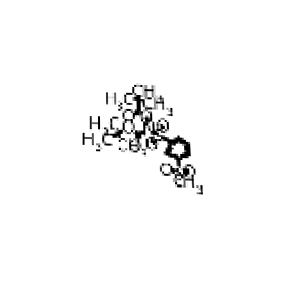 CC(C)(C)OC(=O)N(OC(=O)C(C)(C)C)S(=O)(=O)c1cccc(S(C)(=O)=O)c1